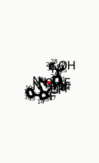 Cn1cnnc1-c1c(-c2ccccc2)ccc(F)c1-c1nc2cc(C(CO)N3CCC3)cc(C(F)(F)F)c2o1